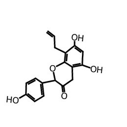 C=CCc1c(O)cc(O)c2c1OC(c1ccc(O)cc1)C(=O)C2